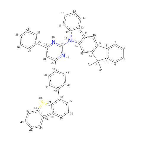 CC1(C)c2ccccc2-c2cc3c4ccccc4n(-c4nc(-c5ccccc5)cc(-c5ccc(-c6cccc7c6sc6ccccc67)cc5)n4)c3cc21